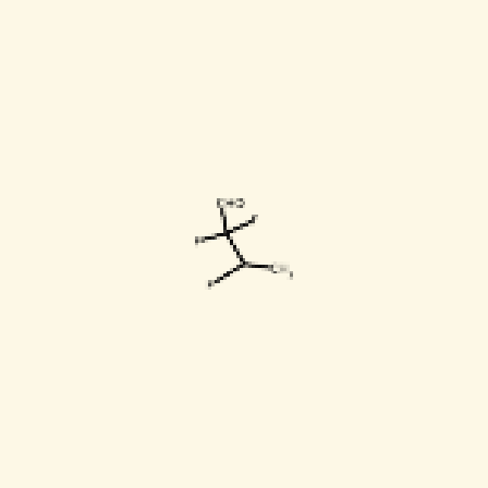 CC(F)C(F)(F)C=O